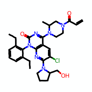 C=CC(=O)N1CCN(c2nc(=O)n(-c3c(CC)cccc3CC)c3nc(N4CCCC4CO)c(Cl)cc23)C(C)C1